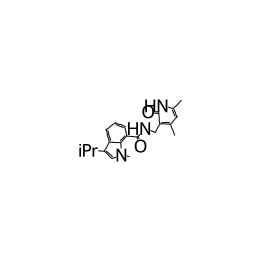 Cc1cc(C)c(CNC(=O)c2cccc3c(C(C)C)cn(C)c23)c(=O)[nH]1